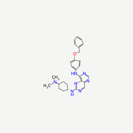 CN(C)[C@H]1CC[C@H](Nc2ncc3ncnc(Nc4ccc(OCc5ccccc5)cc4)c3n2)CC1